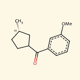 COc1cccc(C(=O)C2CC[C@H](C)C2)c1